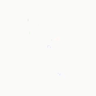 Cc1ccc(C(=O)NCc2c(C3CC3)ccc(N)c2C)cc1Cl